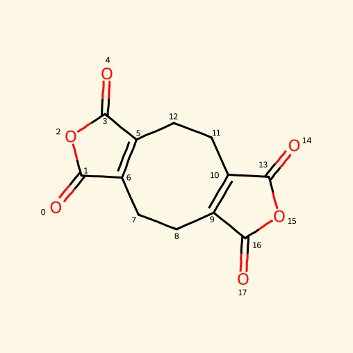 O=C1OC(=O)C2=C1CCC1=C(CC2)C(=O)OC1=O